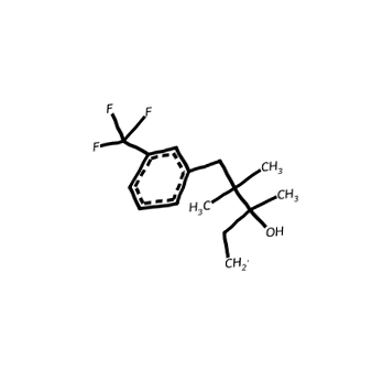 [CH2]CC(C)(O)C(C)(C)Cc1cccc(C(F)(F)F)c1